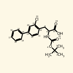 CC(C)(C)OC(=O)NC(Cc1ccc(-c2ccccc2)cc1Cl)C(=O)O